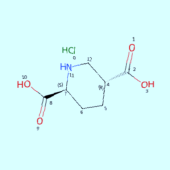 Cl.O=C(O)[C@@H]1CC[C@@H](C(=O)O)NC1